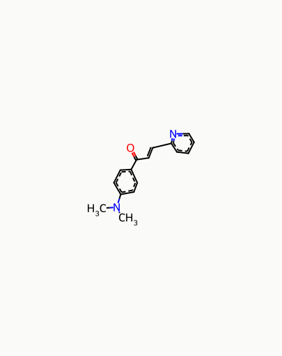 CN(C)c1ccc(C(=O)/C=C/c2ccccn2)cc1